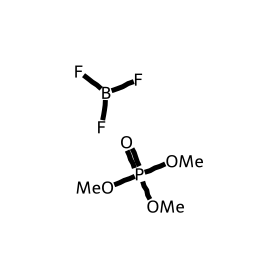 COP(=O)(OC)OC.FB(F)F